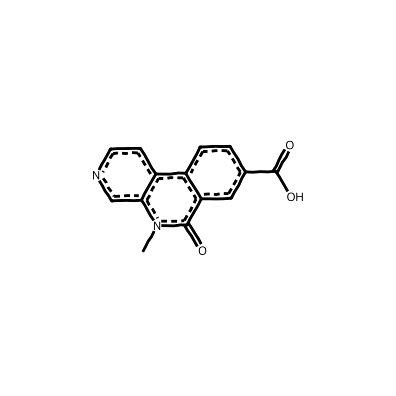 Cn1c(=O)c2cc(C(=O)O)ccc2c2ccncc21